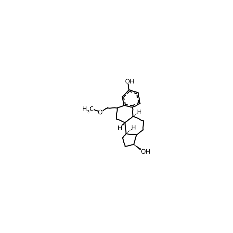 COCC1C[C@@H]2[C@H](CCC3[C@H]2CC[C@@H]3O)c2ccc(O)cc21